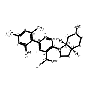 CC(=O)N1CC[C@@H]2CCN(c3nnc(-c4c(C)cc(C)cc4O)cc3C(F)F)[C@@H]2C1